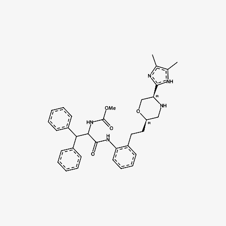 COC(=O)NC(C(=O)Nc1ccccc1CC[C@@H]1CN[C@H](c2nc(C)c(C)[nH]2)CO1)C(c1ccccc1)c1ccccc1